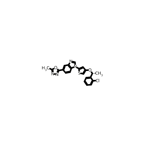 Cc1nnc(-c2ccc3c(c2)ncn3-c2cc(O[C@H](C)c3ccccc3Cl)cs2)o1